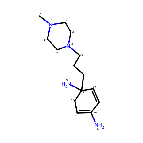 CN1CCN(CCCC2(N)C=CC(N)=CC2)CC1